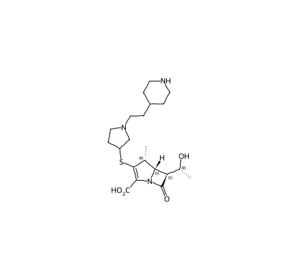 C[C@@H](O)[C@H]1C(=O)N2C(C(=O)O)=C(SC3CCN(CCC4CCNCC4)C3)[C@H](C)[C@H]12